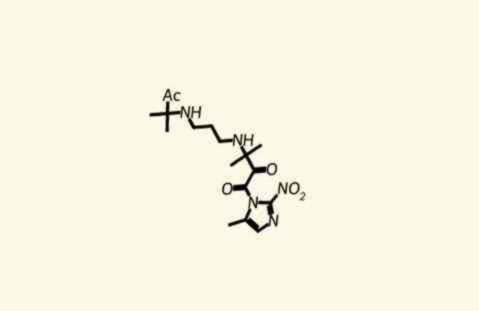 CC(=O)C(C)(C)NCCCNC(C)(C)C(=O)C(=O)n1c(C)cnc1[N+](=O)[O-]